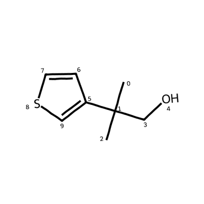 CC(C)(CO)c1ccsc1